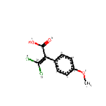 COc1ccc(C(C(=O)O)=C(Cl)Cl)cc1